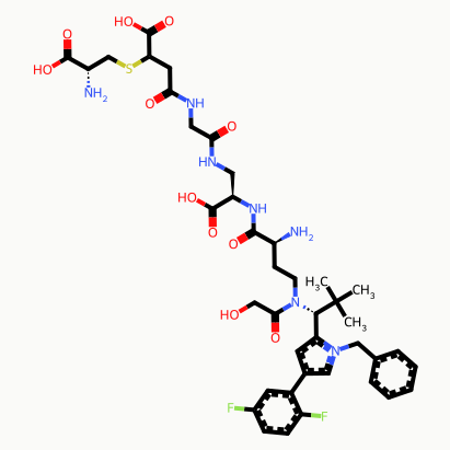 CC(C)(C)[C@H](c1cc(-c2cc(F)ccc2F)cn1Cc1ccccc1)N(CC[C@H](N)C(=O)N[C@H](CNC(=O)CNC(=O)CC(SC[C@H](N)C(=O)O)C(=O)O)C(=O)O)C(=O)CO